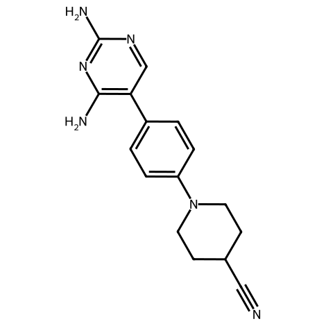 N#CC1CCN(c2ccc(-c3cnc(N)nc3N)cc2)CC1